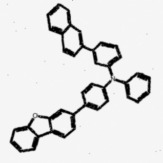 c1ccc(N(c2ccc(-c3ccc4c(c3)oc3ccccc34)cc2)c2cccc(-c3ccc4ccccc4c3)c2)cc1